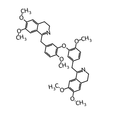 COc1cc2c(cc1OC)C(Cc1ccc(OC)c(Oc3cc(CC4=NCCc5cc(OC)c(OC)cc54)ccc3OC)c1)=NCC2